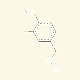 COc1ccc(CNS)cc1F